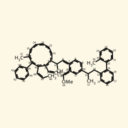 C=Cc1c(C(C)/C=c2/ccc(C(C)Cc3ccccc3-c3ccccc3C)c/c2=C\OC)cccccc(C)c(-c2ccccc2)c1/C=C\C